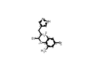 CCC(CCc1[c]n[nH]c1)Oc1c(C)cc(Br)cc1C